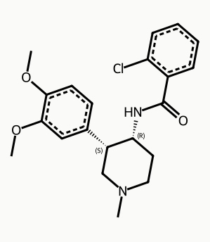 COc1ccc([C@H]2CN(C)CC[C@H]2NC(=O)c2ccccc2Cl)cc1OC